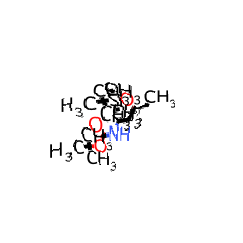 CC[C@@H](CCNC(=O)OC(C)(C)C)O[Si](C)(C)C(C)(C)C